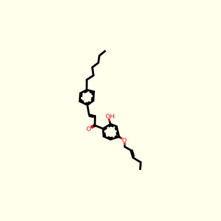 CC/C=C/COc1ccc(C(=O)/C=C/c2ccc(CCCCCC)cc2)c(O)c1